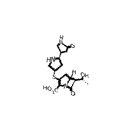 C[C@@H](O)[C@H]1C(=O)N2C(C(=O)O)=C(S[C@@H]3CN[C@@H](C4CNC(=O)C4)C3)C[C@H]12